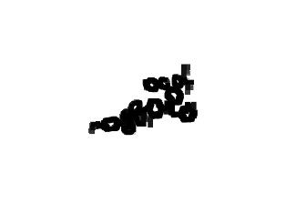 O=C(NS(=O)(=O)c1ccc(F)cc1)c1ccc(N(Cc2cccnc2)c2ccc(OC(F)F)c(OC3CCCC3)c2)cc1